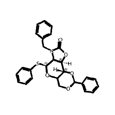 O=C1O[C@@H]2C([C@H](Sc3ccccc3)OC3COC(c4ccccc4)O[C@H]32)N1Cc1ccccc1